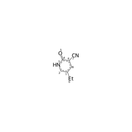 CCc1c[nH]c(=O)c(C#N)c1